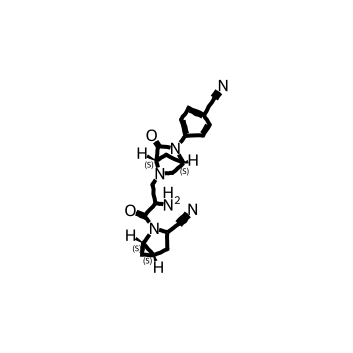 N#Cc1ccc(N2C(=O)[C@@H]3C[C@H]2CN3CC(N)C(=O)N2C(C#N)C[C@@H]3C[C@@H]32)cc1